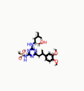 COc1ccc(C(C)Cc2nc(N[C@@H](CO)CC(C)C)nc(NS(C)(=O)=O)n2)cc1OC